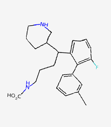 Cc1cccc(-c2c(F)cccc2C(CCCNC(=O)O)C2CCCNC2)c1